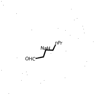 CCCCCCC=O.[NaH]